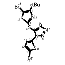 CC(C)(C)c1nc(Sc2nnnn2-c2ccc(Br)s2)sc1Br